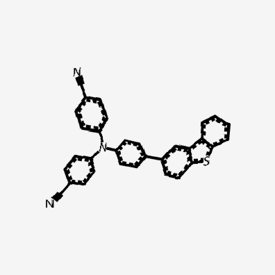 N#Cc1ccc(N(c2ccc(C#N)cc2)c2ccc(-c3ccc4sc5ccccc5c4c3)cc2)cc1